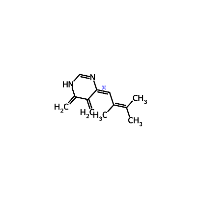 C=C1NC=N/C(=C/C(C)=C(C)C)C1=C